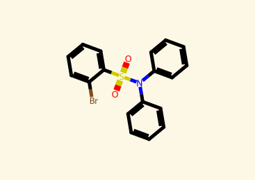 O=S(=O)(c1ccccc1Br)N(c1ccccc1)c1ccccc1